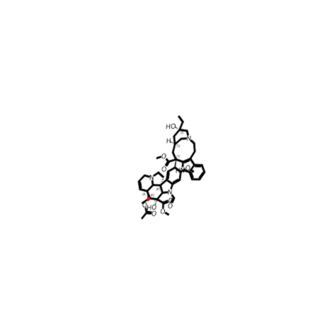 CC[C@]1(O)C[C@H]2CN(CCc3c([nH]c4ccccc34)[C@@](C(=O)OC)(C3C=C4C(=CC3OC)N(C=O)C3[C@]45CCN4CC=C[C@](CC)(C45)[C@@H](OC(C)=O)[C@]3(O)C(=O)OC)C2)C1